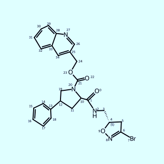 O=C(NC[C@@H]1CC(Br)=NO1)C1CC(c2ccccc2)CN1C(=O)OCc1cnc2ccccc2c1